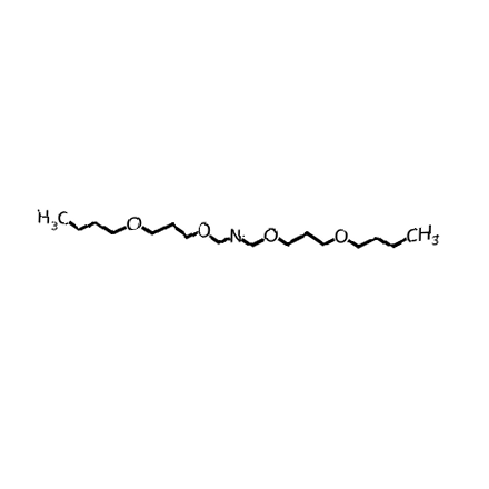 CCCCOCCCOC[N]COCCCOCCCC